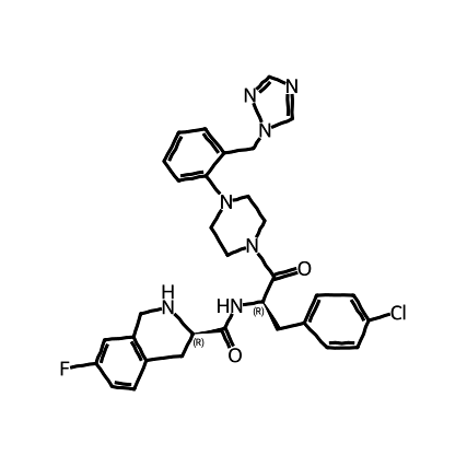 O=C(N[C@H](Cc1ccc(Cl)cc1)C(=O)N1CCN(c2ccccc2Cn2cncn2)CC1)[C@H]1Cc2ccc(F)cc2CN1